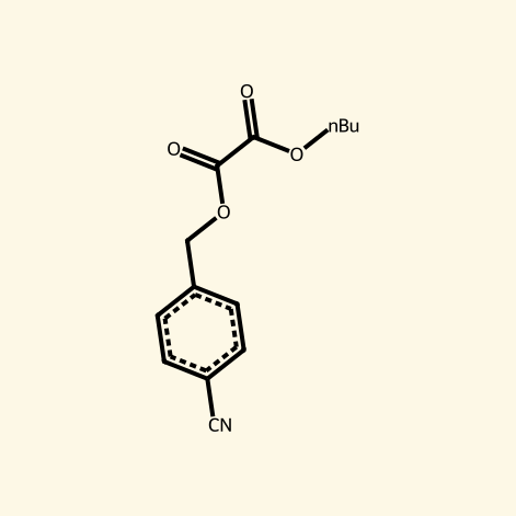 CCCCOC(=O)C(=O)OCc1ccc(C#N)cc1